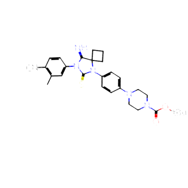 [C-]#[N+]c1ccc(N2C(=N)C3(CCC3)N(c3ccc(N4CCN(C(=O)OC(C)(C)C)CC4)cc3)C2=S)cc1C